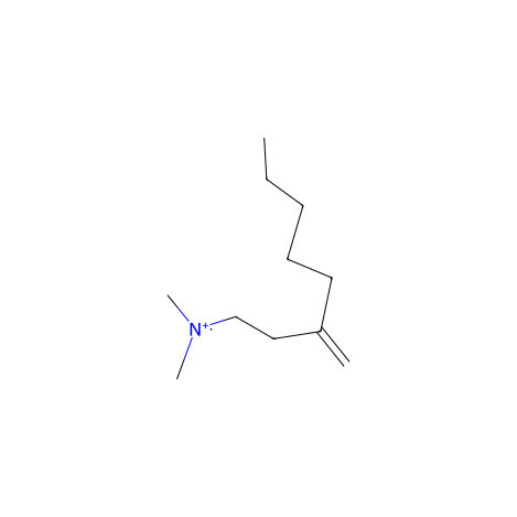 C=C(CCCCC)CC[N+](C)C